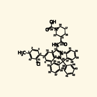 Cc1ccc(-c2ccc3c(c2)c(NC(=O)[C@@H]2CCCN(C(=O)O)C2)nn3C(c2ccccc2)(c2ccccc2)c2ccccc2)c(Cl)c1